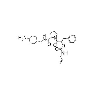 C=CCNC(=O)OC(Cc1ccccc1)C(=O)N1CCCC1C(=O)NCC1CCC(N)CC1